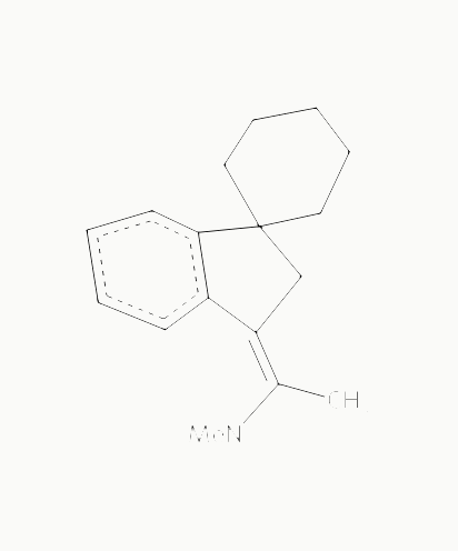 CN/C(C)=C1/CC2(CCCCC2)c2ccccc21